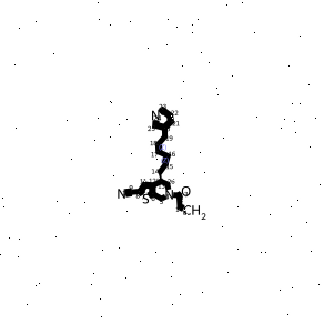 C=CC(=O)N1Cc2sc(C#N)cc2[C@@H](C/C=C\C=C/Cc2cccnc2)C1